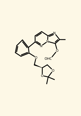 Cc1nc2ccc(-c3ccccc3OC[C@H]3COC(C)(C)O3)nn2c1OC=O